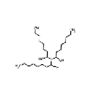 CCCCCCCC(O)P(C(O)CCCCCCC)C(O)CCCCCCC